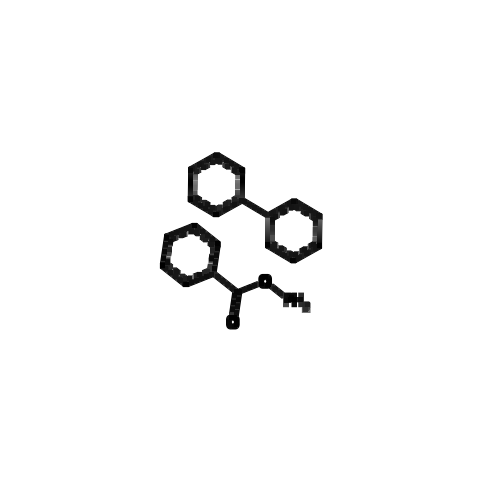 O=C(OP)c1ccccc1.c1ccc(-c2ccccc2)cc1